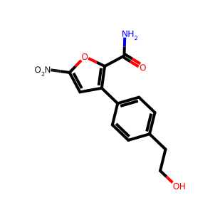 NC(=O)c1oc([N+](=O)[O-])cc1-c1ccc(CCO)cc1